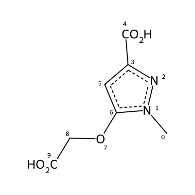 Cn1nc(C(=O)O)cc1OCC(=O)O